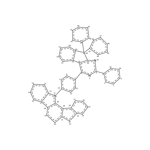 c1ccc(-c2nc(-c3ccc(-n4c5ccccc5c5ccc6sc7ccccc7c6c54)cc3)c3c(n2)[Si](c2ccccc2)(c2ccccc2)c2ccccc2-3)cc1